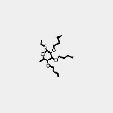 CCCCOC1C(C)OC(SCC)C(OCCCC)C1OCCCC